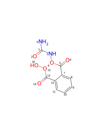 NC(=O)NOC(=O)c1ccccc1C(=O)OO